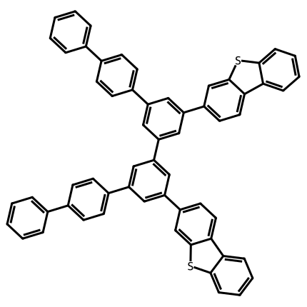 c1ccc(-c2ccc(-c3cc(-c4cc(-c5ccc(-c6ccccc6)cc5)cc(-c5ccc6c(c5)sc5ccccc56)c4)cc(-c4ccc5c(c4)sc4ccccc45)c3)cc2)cc1